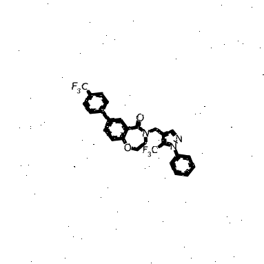 O=C1c2cc(-c3ccc(C(F)(F)F)cc3)ccc2OCCN1Cc1cnn(-c2ccccc2)c1C(F)(F)F